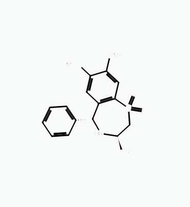 CCCC[C@@H]1CS(=O)(=O)c2cc(OC)c(OC)cc2[C@@H](c2ccccc2)N1